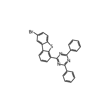 Brc1ccc2sc3c(-c4nc(-c5ccccc5)nc(-c5ccccc5)n4)cccc3c2c1